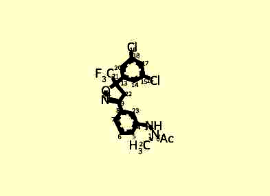 CC(=O)N(C)Nc1cccc(C2=NOC(c3cc(Cl)cc(Cl)c3)(C(F)(F)F)C2)c1